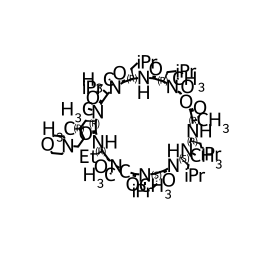 CC[C@H]1NC(=O)[C@@H](C[C@H](C)CCN2CCOCC2)N(C)C(=O)C(C(C)C)N(C)C(=O)[C@@H](CC(C)C)NC(=O)[C@@H](CC(C)C)N(C)C(=O)OC(=O)[C@@H](C)N[C@@H](CC(C)C)N(C)[C@@H](CC(C)C)NC(=O)[C@H](CC(C)C)N(C)C(=O)CN(C)C1=O